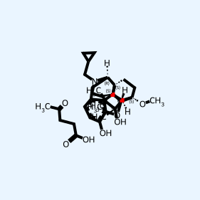 CC(=O)CCC(=O)O.CO[C@@]12CC[C@@]3(C[C@@H]1[C@](C)(O)C(C)(C)C)[C@H]1Cc4ccc(O)c5c4[C@@]3(CCN1CC1CC1)[C@H]2O5